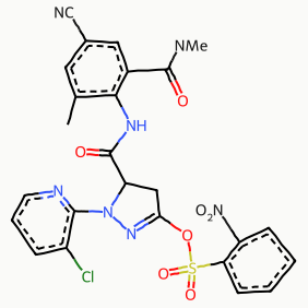 CNC(=O)c1cc(C#N)cc(C)c1NC(=O)C1CC(OS(=O)(=O)c2ccccc2[N+](=O)[O-])=NN1c1ncccc1Cl